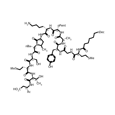 CCCCCCCCCCCCCCCC(=O)N[C@@H](CCSC)C(=O)NCC(=O)N[C@@H](Cc1ccc(O)cc1)C(=O)N[C@@H](C)C(=O)N[C@@H](CCCCC)C(=O)N[C@@H](CCCCN)C(=O)N[C@H]1CC(C)N([C@@H](CCCC)C(=O)N[C@@H](CO)C(=O)N[C@@H](CCSC)C(=O)N[C@H](C(=O)N[C@@H](CC(=O)O)C(C)=O)[C@@H](C)O)C1=O